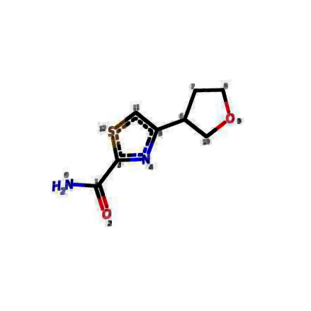 NC(=O)c1nc(C2CCOC2)cs1